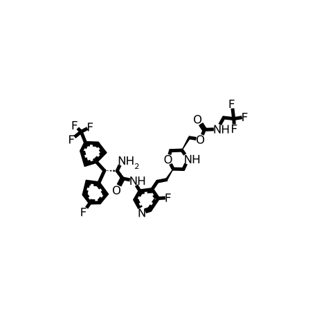 NC(C(=O)Nc1cncc(F)c1CC[C@@H]1CN[C@H](COC(=O)NCC(F)(F)F)CO1)[C@H](c1ccc(F)cc1)c1ccc(C(F)(F)F)cc1